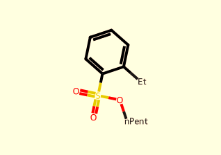 [CH2]CCCCOS(=O)(=O)c1ccccc1CC